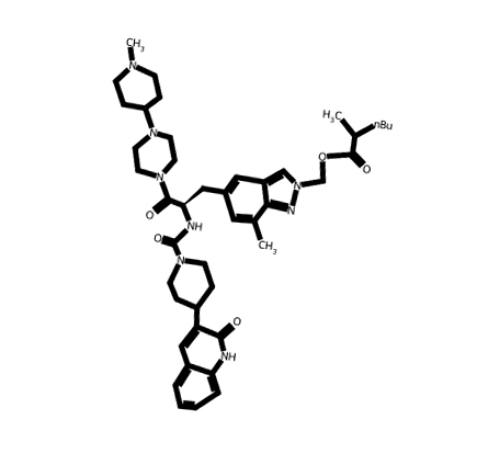 CCCCC(C)C(=O)OCn1cc2cc(C[C@@H](NC(=O)N3CCC(c4cc5ccccc5[nH]c4=O)CC3)C(=O)N3CCN(C4CCN(C)CC4)CC3)cc(C)c2n1